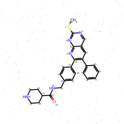 CSc1ncc2cc(-c3ccccc3)c(-c3ccc(CNC(=O)C4CCNCC4)cc3)nc2n1